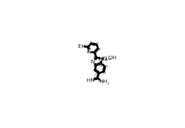 CCc1cccc(-c2nc3cc(C(=N)N)ccc3[nH]2)n1.Cl.Cl